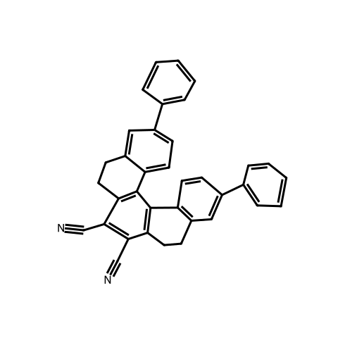 N#Cc1c(C#N)c2c(c3c1CCc1cc(-c4ccccc4)ccc1-3)-c1ccc(-c3ccccc3)cc1CC2